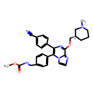 COC(=O)NCc1ccc(-c2c(-c3ccc(C#N)cc3)nc(OC[C@@H]3CCCN(C)C3)c3nccn23)cc1